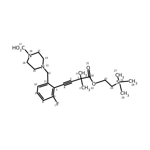 CC(C)(C#Cc1c(F)cccc1CN1CCN(C(=O)O)CC1)C(=O)OCC[Si](C)(C)C